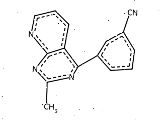 Cc1nc(-c2cccc(C#N)c2)c2cccnc2n1